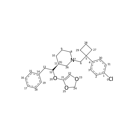 Clc1ccc(C2(CN3CCC[C@H](C(Cc4ccccc4)OC4=COCO4)C3)CCC2)cc1